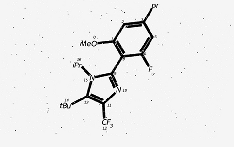 COc1cc(Br)cc(F)c1-c1nc(C(F)(F)F)c(C(C)(C)C)n1C(C)C